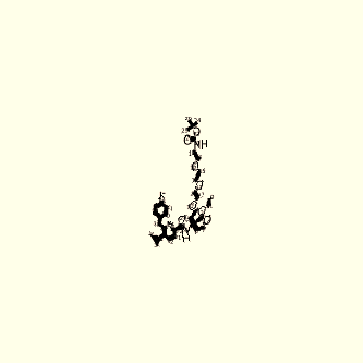 CCOC(=O)C(CC)(CCOCCOCCOCCNC(=O)OC(C)(C)C)NC(=O)c1ccc(C2CC2)c(Cc2ccc(F)cc2)n1